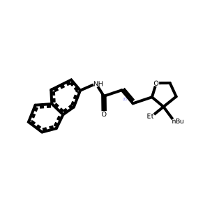 CCCCC1(CC)CCOC1/C=C/C(=O)Nc1ccc2ccccc2c1